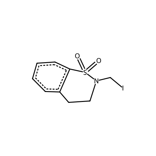 O=S1(=O)c2ccccc2CCN1CI